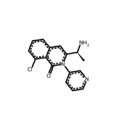 C[C@H](N)c1cc2cccc(Cl)c2c(=O)n1-c1cccnc1